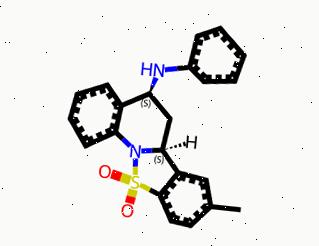 Cc1ccc2c(c1)[C@@H]1C[C@H](Nc3ccccc3)c3ccccc3N1S2(=O)=O